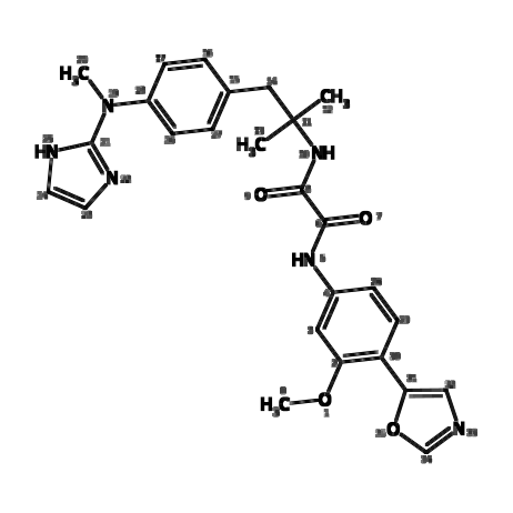 COc1cc(NC(=O)C(=O)NC(C)(C)Cc2ccc(N(C)c3ncc[nH]3)cc2)ccc1-c1cnco1